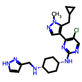 Cn1ncc(-c2nc(N[C@H]3CC[C@@H](NCc4cc[nH]n4)CC3)ncc2Cl)c1CC1CC1